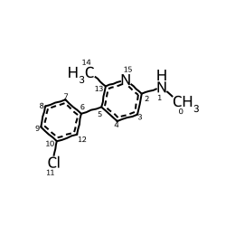 CNc1ccc(-c2cccc(Cl)c2)c(C)n1